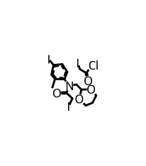 Cc1cc(I)ccc1N(CC1OCCCO1)C(=O)CI.O=C(Cl)CI